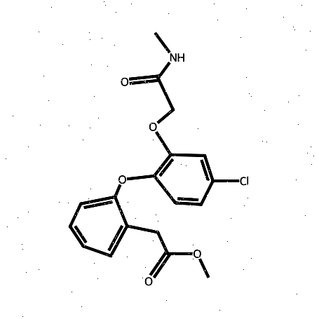 CNC(=O)COc1cc(Cl)ccc1Oc1ccccc1CC(=O)OC